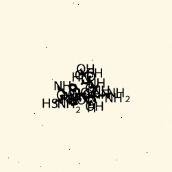 CC(C)CC(NC(=O)C(C)NC(=O)C(CCCNC(=N)N)NC(=O)C(CC(=O)O)NC(=O)C(Cc1ccccc1)NC(=O)C1CCCN1C(=O)C(CCCCN)NC(=O)C(N)CS)C(=O)NC(CS)C(=O)O